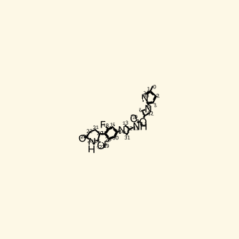 Cc1ccc(N2CC(OC(=O)NC3CN(c4cc(F)c(C5CCC(=O)NC5=O)c(F)c4)C3)C2)nc1